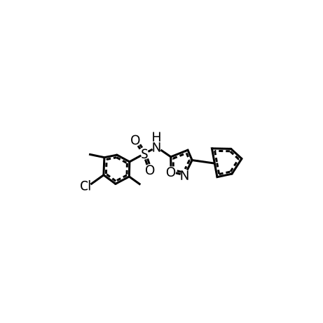 Cc1cc(S(=O)(=O)Nc2cc(-c3ccccc3)no2)c(C)cc1Cl